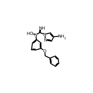 N=C(N(O)c1cccc(OCc2ccccc2)c1)n1cc(N)cn1